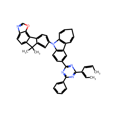 C/C=C\C(=C/C)c1nc(-c2ccccc2)nc(-c2ccc3c(c2)c2c(n3-c3ccc4c(c3)C(C)(C)c3ccc5ncoc5c3-4)C=CCC=C2)n1